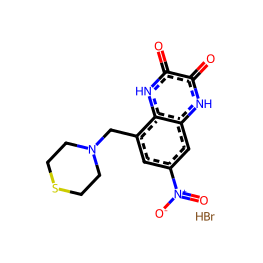 Br.O=c1[nH]c2cc([N+](=O)[O-])cc(CN3CCSCC3)c2[nH]c1=O